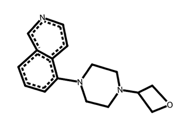 c1cc(N2CCN(C3COC3)CC2)c2ccncc2c1